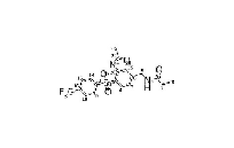 C=CC(=O)NCc1ccc(S(=O)(=O)c2ccc(C(F)(F)F)cc2)c2nc(C)oc12